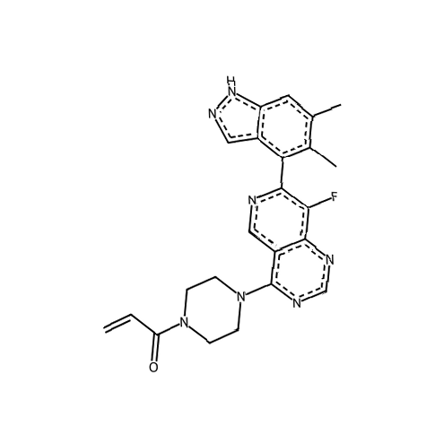 C=CC(=O)N1CCN(c2ncnc3c(F)c(-c4c(C)c(C)cc5[nH]ncc45)ncc23)CC1